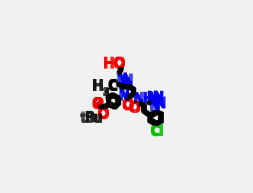 Cc1cc(CC(NC(=O)C=Cc2cc(Cl)ccc2-n2cnnn2)C(=O)Nc2ccc(C(=O)OC(C)(C)C)cc2)nn1CCO